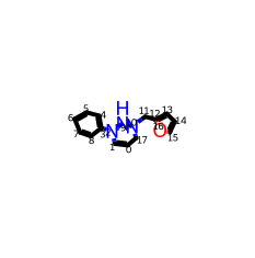 C1=CN(c2ccccc2)NN(Cc2ccco2)C1